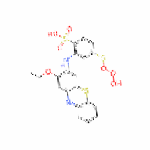 CCOc1cc2nc3ccccc3sc-2c/c1=N\c1cc(SOOO)ccc1S(=O)(=O)O